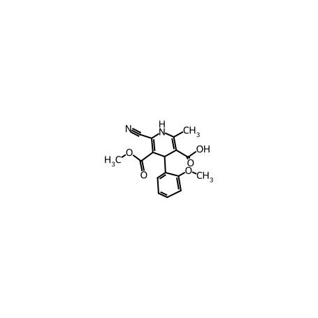 COC(=O)C1=C(C#N)NC(C)=C(C(=O)O)C1c1ccccc1OC